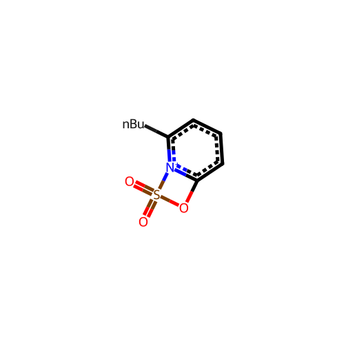 CCCCc1cccc2[n+]1S(=O)(=O)O2